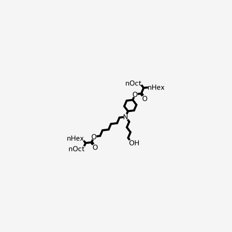 CCCCCCCCC(CCCCCC)C(=O)OCCCCCCN(CCCCO)C1CCC(OC(=O)C(CCCCCC)CCCCCCCC)CC1